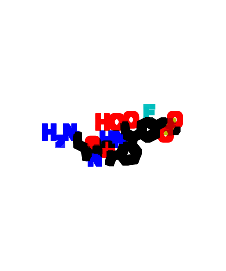 CC(Oc1ncc(CCN)o1)c1cccc2c(-c3ccc(CS(C)(=O)=O)c(F)c3)c(C(=O)O)[nH]c12